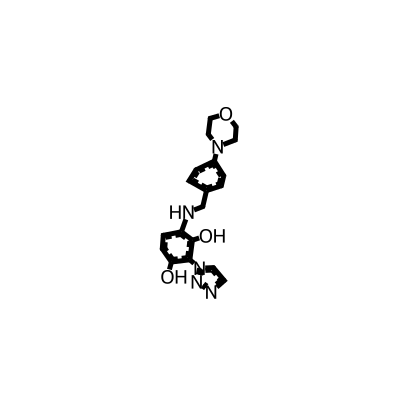 Oc1ccc(NCc2ccc(N3CCOCC3)cc2)c(O)c1-n1ccnn1